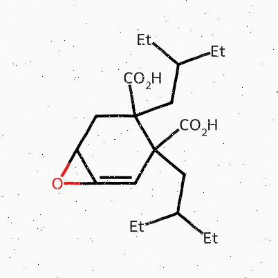 CCC(CC)CC1(C(=O)O)C=C2OC2CC1(CC(CC)CC)C(=O)O